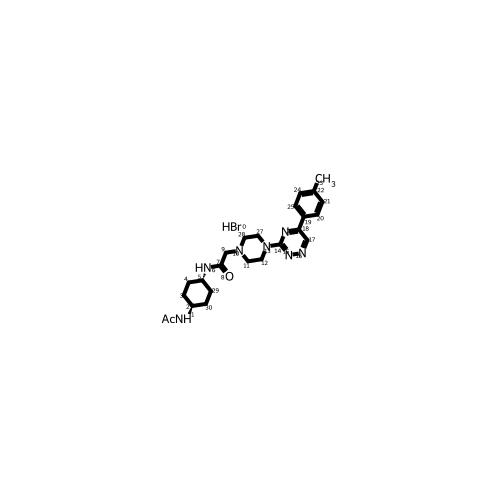 Br.CC(=O)N[C@H]1CC[C@H](NC(=O)CN2CCN(c3nncc(-c4ccc(C)cc4)n3)CC2)CC1